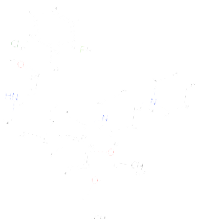 CCOc1ccc(C2(CCN3CCC(N4CCCCC4)CC3)CCCNC(C(=O)Cc3c(F)cccc3Cl)C2)cc1OCC